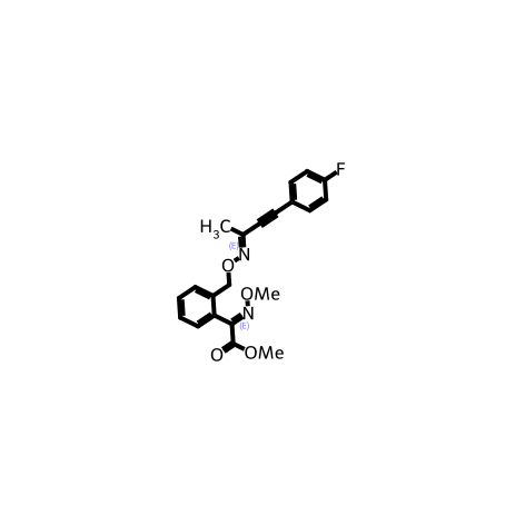 CO/N=C(/C(=O)OC)c1ccccc1CO/N=C(\C)C#Cc1ccc(F)cc1